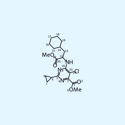 COC(=O)c1nc(C2CC2)nc(NC(CC2CCCCC2)C(=O)OC)c1Cl